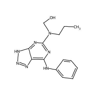 CCCN(CO)c1nc(Nc2ccccc2)c2nn[nH]c2n1